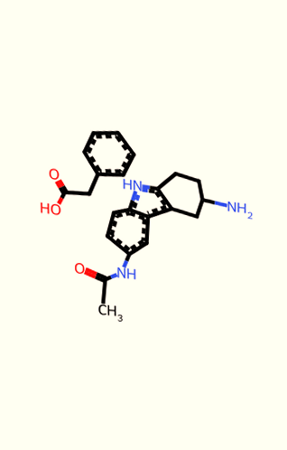 CC(=O)Nc1ccc2[nH]c3c(c2c1)CC(N)CC3.O=C(O)Cc1ccccc1